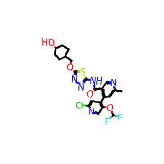 Cc1cc(-c2cc(Cl)ncc2OC(F)F)c(C(=O)Nc2nnc(OCC3CCC(O)CC3)s2)cn1